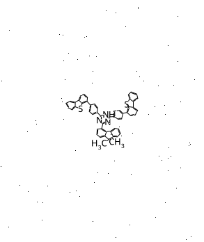 CC1(C)c2ccccc2-c2c(C3=NC(c4ccc(-c5cccc6c5sc5ccccc56)cc4)NC(c4ccc(-c5cccc6c5sc5ccccc56)cc4)=N3)cccc21